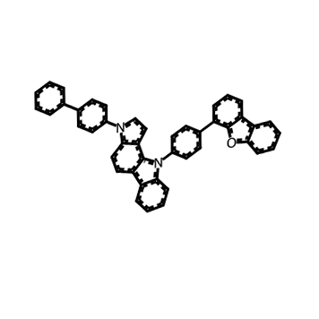 c1ccc(-c2ccc(-n3ccc4c3ccc3c5ccccc5n(-c5ccc(-c6cccc7c6oc6ccccc67)cc5)c34)cc2)cc1